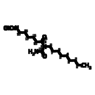 CCCCCCCCCN(C(N)=O)C(=O)CCCCCN=C=O